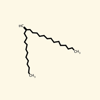 [CH]=C(CCCCCCCCCCCC)CCCCCCCCCCCCCC